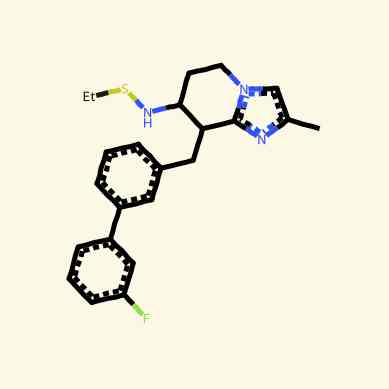 CCSNC1CCn2cc(C)nc2C1Cc1cccc(-c2cccc(F)c2)c1